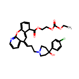 CCOC(=O)OCCOC(=O)C1C=CC=C2Oc3ncccc3C(=CCCN3CCC(O)(c4ccc(Cl)cc4)CC3)C=C21